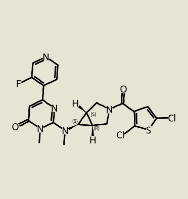 CN(c1nc(-c2ccncc2F)cc(=O)n1C)[C@H]1[C@@H]2CN(C(=O)c3cc(Cl)sc3Cl)C[C@@H]21